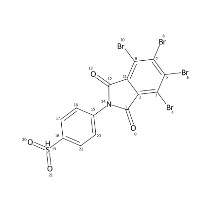 O=C1c2c(Br)c(Br)c(Br)c(Br)c2C(=O)N1c1ccc([SH](=O)=O)cc1